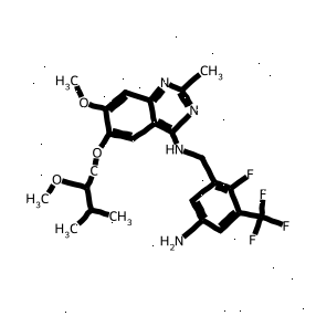 COc1cc2nc(C)nc(NCc3cc(N)cc(C(F)(F)F)c3F)c2cc1OCC(OC)C(C)C